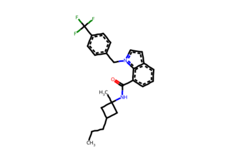 CCCC1CC(C)(NC(=O)c2cccc3ccn(Cc4ccc(C(F)(F)F)cc4)c23)C1